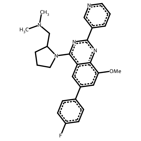 COc1cc(-c2ccc(F)cc2)cc2c(N3CCCC3CN(C)C)nc(-c3cccnc3)nc12